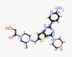 C[C@H]1CN(C(=O)CO)CCN1Cc1cc2nc(-c3ccc(N)nc3)nc(N3CCOCC3)c2s1